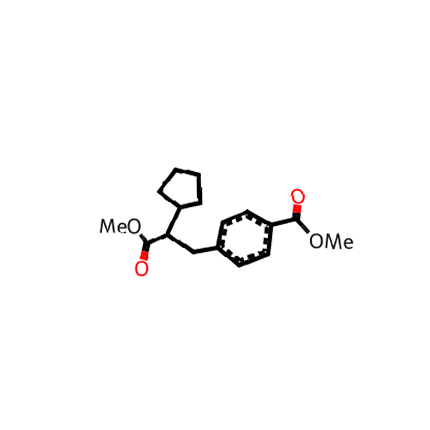 COC(=O)c1ccc(CC(C(=O)OC)C2CCCC2)cc1